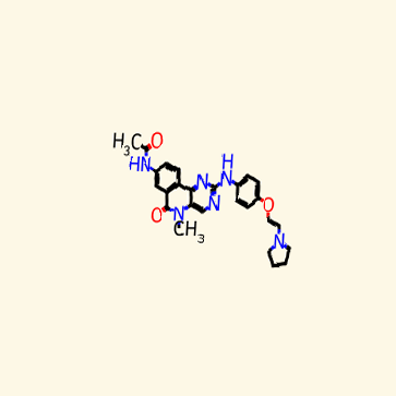 CC(=O)Nc1ccc2c(c1)c(=O)n(C)c1cnc(Nc3ccc(OCCN4CCCC4)cc3)nc21